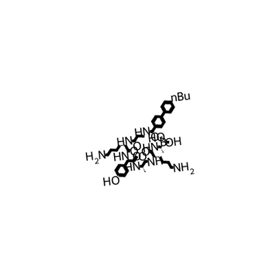 CCCCc1ccc(-c2ccc(C(=O)NCCC(=O)N[C@@H](CCCCN)C(=O)NC(C(=O)N[C@@H](C)C(=O)N[C@@H](CCCCN)C(=O)N[C@@H](C)B(O)O)c3ccc(O)cc3)cc2)cc1